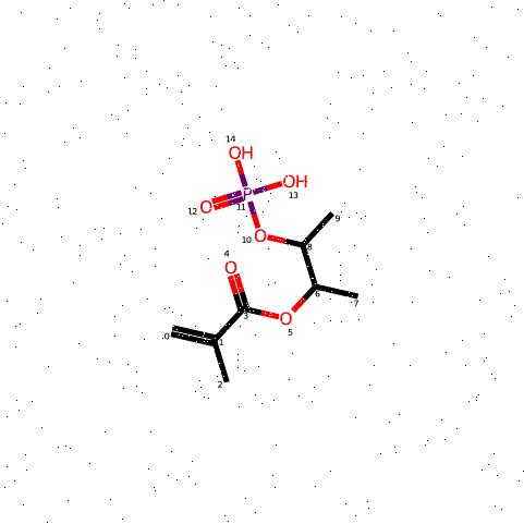 C=C(C)C(=O)OC(C)C(C)OP(=O)(O)O